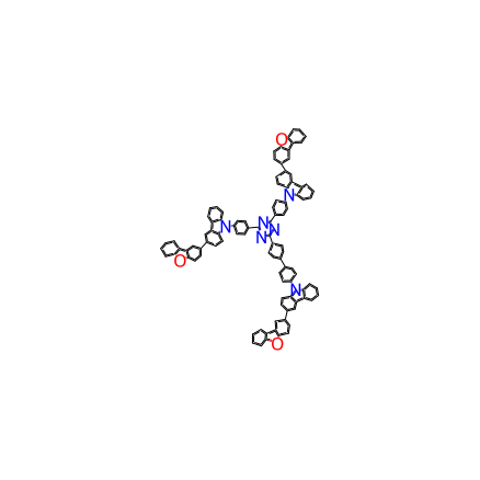 c1ccc2c(c1)oc1ccc(-c3ccc4c(c3)c3ccccc3n4-c3ccc(-c4ccc(-c5nc(-c6ccc(-n7c8ccccc8c8cc(-c9ccc%10oc%11ccccc%11c%10c9)ccc87)cc6)nc(-c6ccc(-n7c8ccccc8c8cc(-c9ccc%10oc%11ccccc%11c%10c9)ccc87)cc6)n5)cc4)cc3)cc12